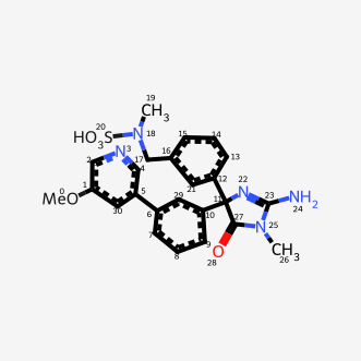 COc1cncc(-c2cccc(C3(c4cccc(CN(C)S(=O)(=O)O)c4)N=C(N)N(C)C3=O)c2)c1